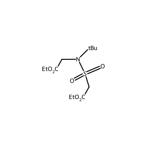 CCOC(=O)CN(C(C)(C)C)S(=O)(=O)CC(=O)OCC